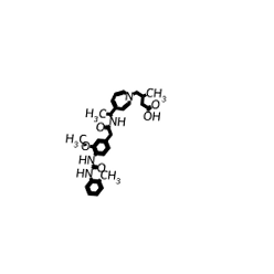 COc1cc(CC(=O)NC(C)C2=CC=CN(CC(C)CC(=O)O)C=C2)ccc1NC(=O)Nc1ccccc1C